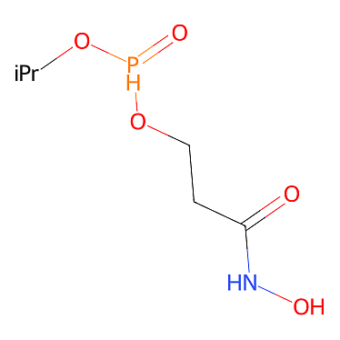 CC(C)O[PH](=O)OCCC(=O)NO